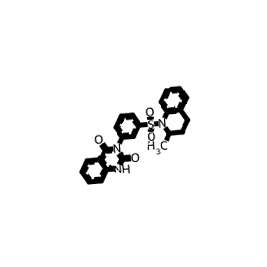 CC1CCc2ccccc2N1S(=O)(=O)c1cccc(-n2c(=O)[nH]c3ccccc3c2=O)c1